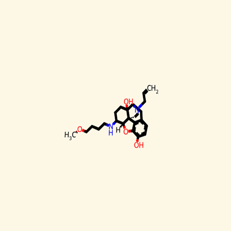 C=CCN1CC[C@]23c4c5ccc(O)c4O[C@@H]2C(NCCCCOC)CCC3(O)C1C5